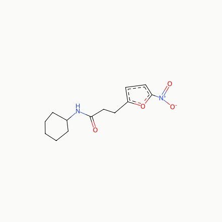 O=C(CCc1ccc([N+](=O)[O-])o1)NC1CCCCC1